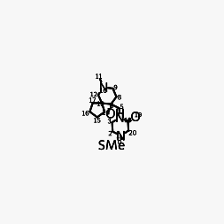 CSN1CCN(CC2(O)CCN(C)CC23CCCC3)C(=O)C1